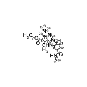 CCOC(=O)C1C(C)=C2C(Nc3cc(C(=O)NC4CC4)ccc3C)=NC=NN2C1CN1CCCC1